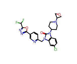 O=c1n(Cc2ccc(-c3nnc(C(F)F)o3)cn2)c2cc(Cl)ccc2n1C1CCN(C2COC2)CC1